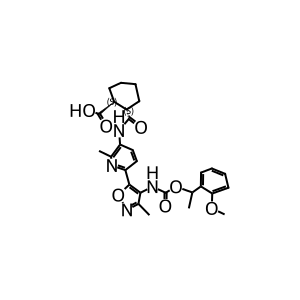 COc1ccccc1C(C)OC(=O)Nc1c(C)noc1-c1ccc(NC(=O)[C@H]2CCCC[C@@H]2C(=O)O)c(C)n1